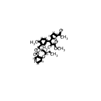 CC[C@@H]1CN(Cc2cc(C(c3ccc(C(C)=O)s3)C(C)C(=O)OC)ccc2C)S(=O)(=O)c2cnccc2O1